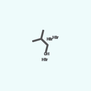 Br.Br.Br.CC(C)CO